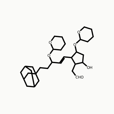 O=CCC1C(O)CC(OC2CCCCO2)C1C=CC(CCC12CC3CC(CC(C3)C1)C2)OC1CCCCO1